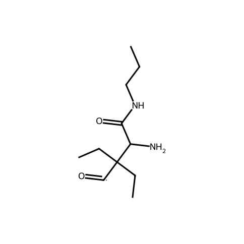 CCCNC(=O)C(N)C([C]=O)(CC)CC